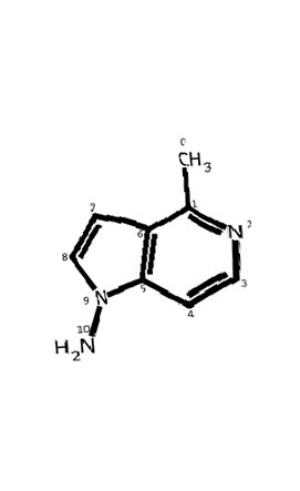 Cc1nccc2c1ccn2N